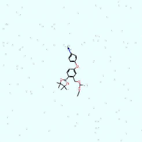 [C-]#[N+]c1ccc(Oc2ccc(B3OC(C)(C)C(C)(C)O3)c(COC(C)OCC)c2)cc1